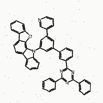 c1ccc(-c2nc(-c3ccccc3)nc(-c3cccc(-c4cc(-c5cccnc5)cc(-n5c6ccccc6c6ccc7c8ccccc8oc7c65)c4)c3)n2)cc1